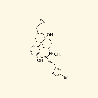 CN(C(=O)/C=C/c1cc(Br)cs1)[C@H]1CC[C@]2(O)CN(CC3CC3)CC[C@@]2(c2cccc(O)c2)C1